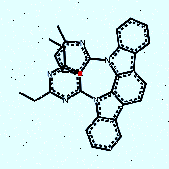 CCc1nc(CC)nc(-n2c3ccccc3c3ccc4c5ccccc5n(-c5cccc(C)n5)c4c32)n1